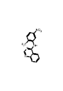 Cc1ccc([N+](=O)[O-])cc1Nc1ncnc2ccccc12